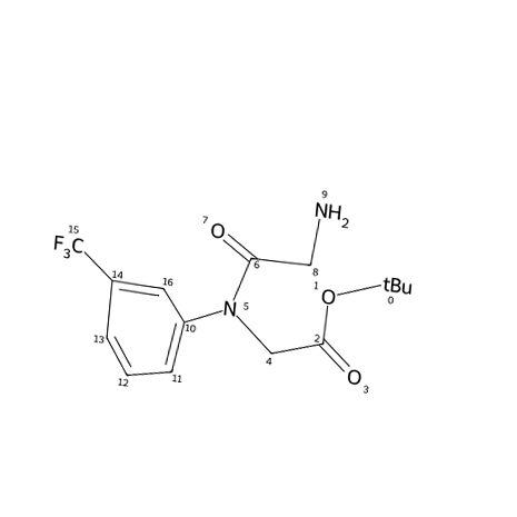 CC(C)(C)OC(=O)CN(C(=O)CN)c1cccc(C(F)(F)F)c1